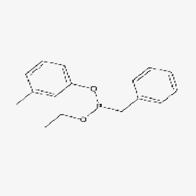 CCOP(Cc1ccccc1)Oc1cccc(C)c1